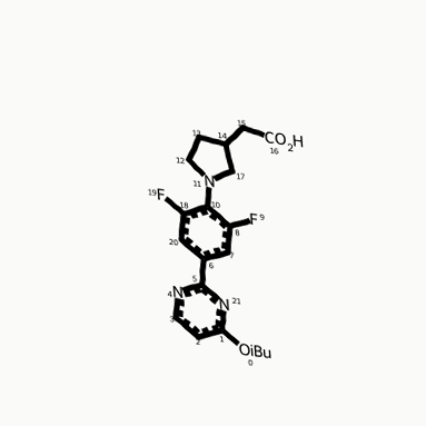 CC(C)COc1ccnc(-c2cc(F)c(N3CCC(CC(=O)O)C3)c(F)c2)n1